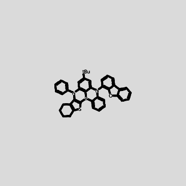 CC(C)(C)c1cc2c3c(c1)N(c1cccc4c1oc1ccccc14)c1ccccc1B3c1sc3c(c1N2c1ccccc1)CCCC3